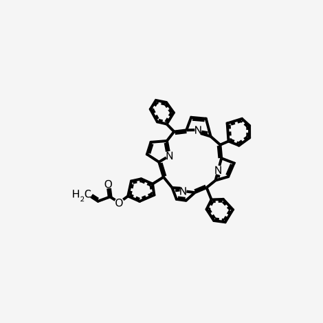 C=CC(=O)Oc1ccc(C2=C3C=CC(=N3)C(c3ccccc3)=C3C=CC(=N3)C(c3ccccc3)=C3C=CC(=N3)C(c3ccccc3)=C3C=CC2=N3)cc1